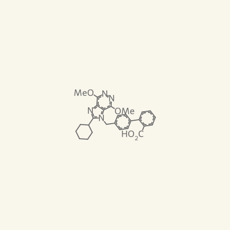 COc1nnc(OC)c2c1nc(C1CCCCC1)n2Cc1ccc(-c2ccccc2C(=O)O)cc1